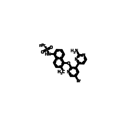 CCCS(=O)(=O)Nc1cccc2c(Oc3ncc(Br)cc3-c3ccnc(N)n3)c(C)ccc12